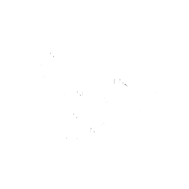 Cc1c([C@H]2CC=CC[C@@H]2N)sc2c(NCc3ccncc3F)nc(Cl)nc12